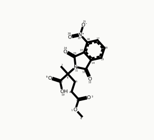 COC(=O)CCC(C)(C(=O)O)N1C(=O)c2cccc([N+](=O)[O-])c2C1=O